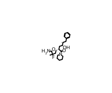 CC(F)(CC[C@H](C[C@@H](O)[CH]Cc1ccccc1)C(=O)N1CCCCC1)C(N)=O